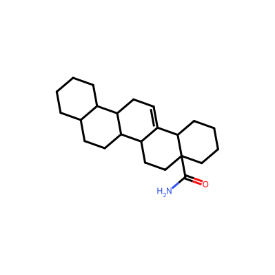 NC(=O)C12CCCCC1C1=CCC3C4CCCCC4CCC3C1CC2